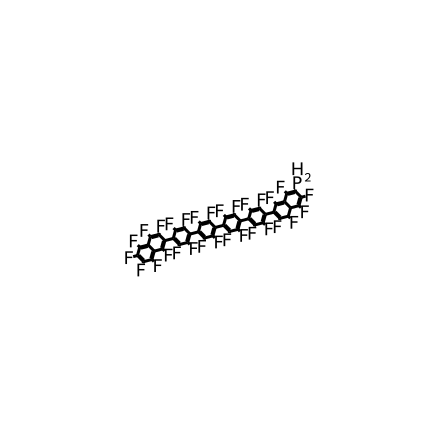 FC1=C(P)C(F)=C(F)C2C1=C(F)C(c1c(F)c(F)c(-c3c(F)c(F)c(-c4c(F)c(F)c(-c5c(F)c(F)c(-c6c(F)c(F)c7c(F)c(F)c(F)c(F)c7c6F)c(F)c5F)c(F)c4F)c(F)c3F)c(F)c1F)=C(F)C2F